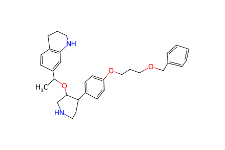 CC(OC1CNCCC1c1ccc(OCCCOCc2ccccc2)cc1)c1ccc2c(c1)NCCC2